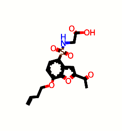 C=CCCOc1ccc(S(=O)(=O)NCC(=O)O)c2cc(C(C)=O)oc12